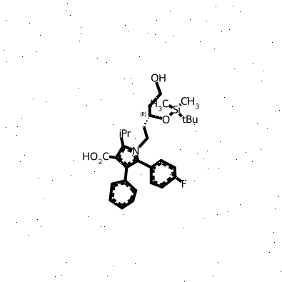 CC(C)c1c(C(=O)O)c(-c2ccccc2)c(-c2ccc(F)cc2)n1CC[C@H](CCO)O[Si](C)(C)C(C)(C)C